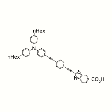 CCCCCCc1ccc(N(c2ccc(C#Cc3ccc(C#Cc4nc5ccc(C(=O)O)cc5s4)cc3)cc2)c2ccc(CCCCCC)cc2)cc1